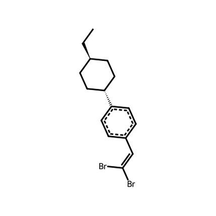 CC[C@H]1CC[C@H](c2ccc(C=C(Br)Br)cc2)CC1